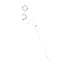 NCCOCCOCCOCCOCCC(=O)N1CCN(c2cc(-c3ccccc3O)nnc2N)CC1